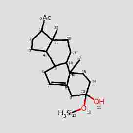 CC(=O)C1CCC2C3CC=C4CC(O)(O[SiH3])CCC4(C)C3CCC12C